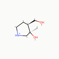 C[C@]1(O)CNCC[C@H]1CO